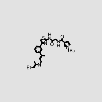 CC/C=C(C)/N=C\C=C(/C)c1cccc(-c2csc(NC(=O)CNC(=O)c3ccn(C(C)(C)C)c3)n2)c1